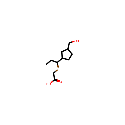 CCC(SCC(=O)O)C1CCC(CO)C1